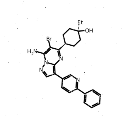 CC[C@]1(O)CC[C@@H](c2nc3c(-c4ccc(-c5ccccc5)nc4)cnn3c(N)c2Br)CC1